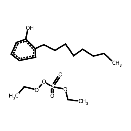 CCCCCCCCc1ccccc1O.CCOOS(=O)(=O)OCC